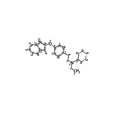 CCN(CCc1ccc(Oc2nc3ccccc3s2)cc1)C1CCCCC1